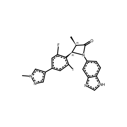 C[C@H]1C(=O)N(c2ccc3[nH]cnc3c2)[C@H]1c1c(F)cc(-c2cnn(C)c2)cc1I